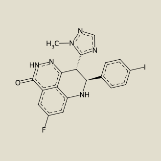 Cn1ncnc1[C@H]1c2n[nH]c(=O)c3cc(F)cc(c23)N[C@@H]1c1ccc(I)cc1